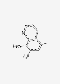 Bc1cc(C)c2cccnc2c1O